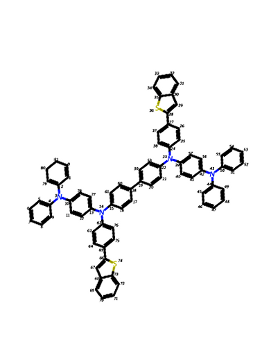 C1=CC(N(c2ccccc2)c2ccc(N(c3ccc(-c4ccc(N(c5ccc(-c6cc7ccccc7s6)cc5)c5ccc(N(c6ccccc6)c6ccccc6)cc5)cc4)cc3)c3ccc(-c4cc5ccccc5s4)cc3)cc2)=CCC1